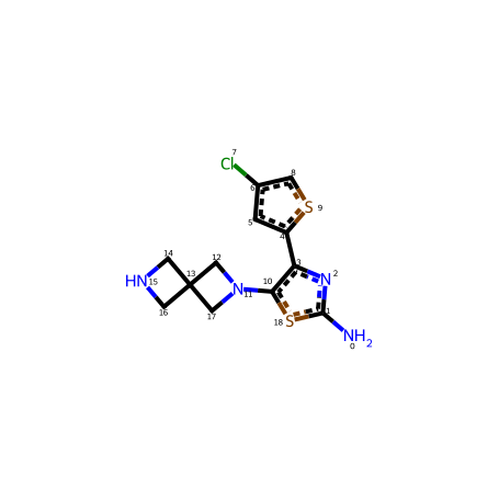 Nc1nc(-c2cc(Cl)cs2)c(N2CC3(CNC3)C2)s1